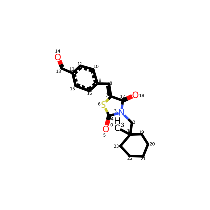 CC1(CN2C(=O)SC(=Cc3ccc(C=O)cc3)C2=O)CCCCC1